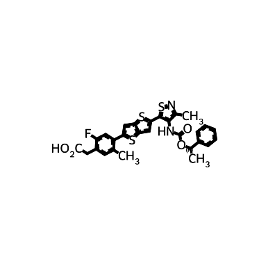 Cc1cc(CC(=O)O)c(F)cc1-c1cc2sc(-c3snc(C)c3NC(=O)O[C@H](C)c3ccccc3)cc2s1